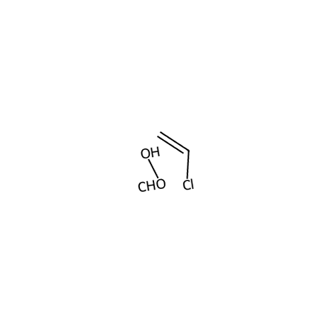 C=CCl.O=CO